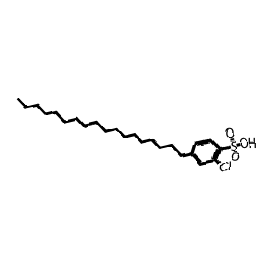 CCCCCCCCCCCCCCCCCCc1ccc(S(=O)(=O)O)c(Cl)c1